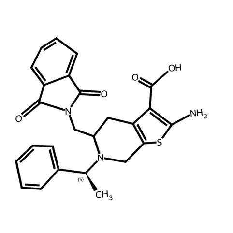 C[C@@H](c1ccccc1)N1Cc2sc(N)c(C(=O)O)c2CC1CN1C(=O)c2ccccc2C1=O